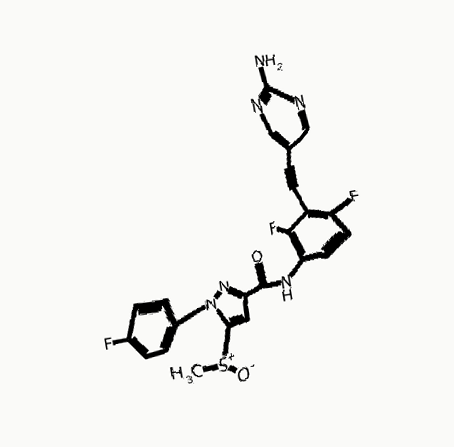 C[S+]([O-])c1cc(C(=O)Nc2ccc(F)c(C#Cc3cnc(N)nc3)c2F)nn1-c1ccc(F)cc1